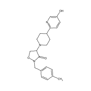 Cc1ccc(CN2OCC(N3CCC(c4ccc(O)cn4)CC3)C2=O)cc1